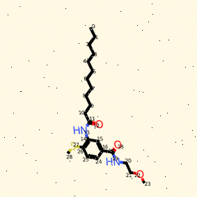 CCCCCCCCCCCC(=O)Nc1cc(C(=O)NCCOC)ccc1SC